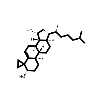 CC(C)CCC[C@@H](C)[C@H]1C[C@@H](O)[C@H]2[C@@H]3CC=C4C5(CC5)[C@@H](O)CC[C@]4(C)[C@H]3CC[C@@]21C